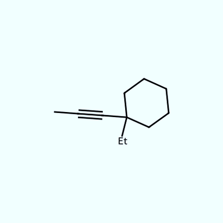 CC#CC1(CC)CCCCC1